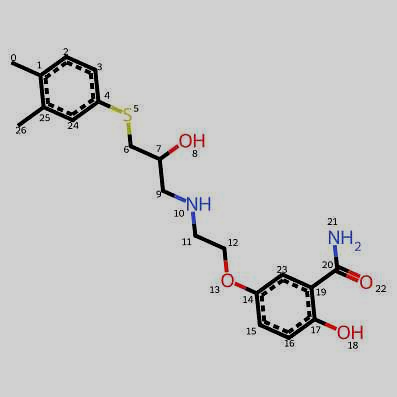 Cc1ccc(SCC(O)CNCCOc2ccc(O)c(C(N)=O)c2)cc1C